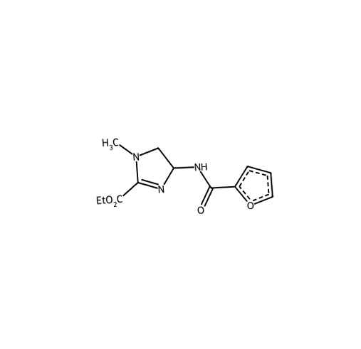 CCOC(=O)C1=NC(NC(=O)c2ccco2)CN1C